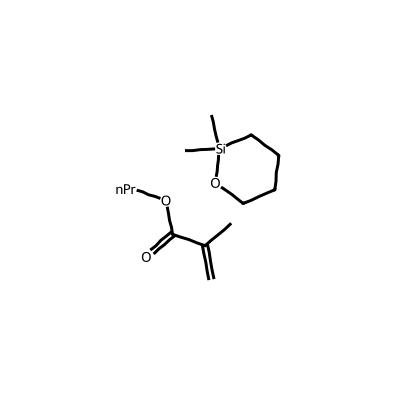 C=C(C)C(=O)OCCC.C[Si]1(C)CCCCO1